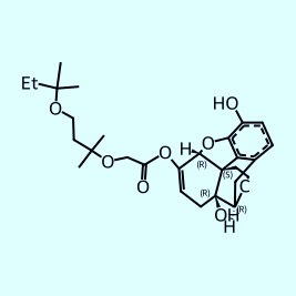 CCC(C)(C)OCCC(C)(C)OCC(=O)OC1=CC[C@@]2(O)[C@@H]3CCC[C@@]24c2c(ccc(O)c2O[C@@H]14)C3